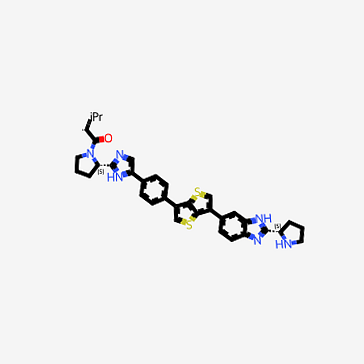 CC(C)[CH]C(=O)N1CCC[C@H]1c1ncc(-c2ccc(-c3csc4c(-c5ccc6nc([C@@H]7CCCN7)[nH]c6c5)csc34)cc2)[nH]1